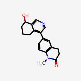 CN1C(=O)CCc2cc(-c3cncc4c3CCCC4O)ccc21